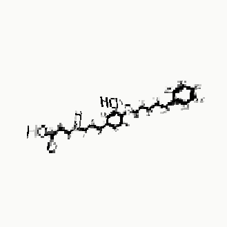 Cl.O=C(O)CCNCCCc1ccc(OCCCCCc2ccccc2)cc1